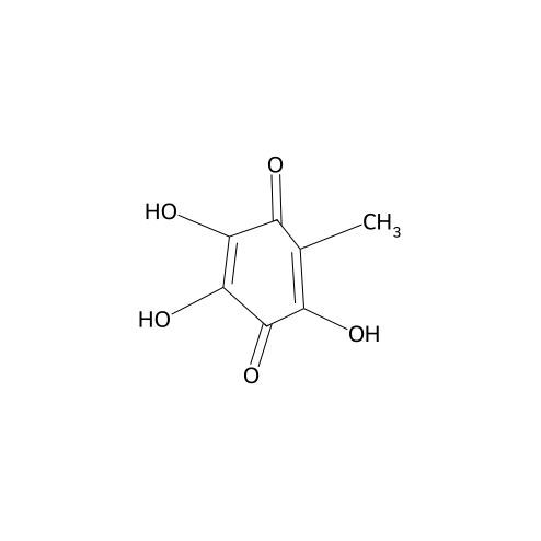 CC1=C(O)C(=O)C(O)=C(O)C1=O